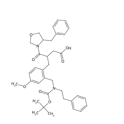 COc1ccc(CC(CC(=O)O)C(=O)N2COCC2Cc2ccccc2)c(CN(CCc2ccccc2)C(=O)OC(C)(C)C)c1